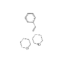 C1CCOCC1.C1CCOCC1.C=Cc1ccccc1